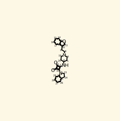 O=c1c(NC2CCN(CCc3coc4ccccc34)CC2)c(N2CCc3ccccc32)c1=O